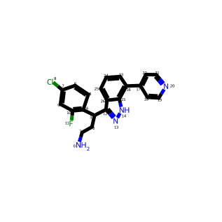 NCCC(c1ccc(Cl)cc1F)c1n[nH]c2c(-c3ccncc3)cccc12